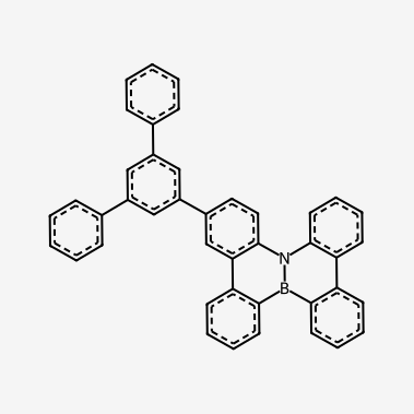 c1ccc(-c2cc(-c3ccccc3)cc(-c3ccc4c(c3)-c3ccccc3B3c5ccccc5-c5ccccc5N34)c2)cc1